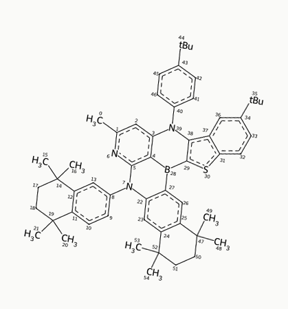 Cc1cc2c3c(n1)N(c1ccc4c(c1)C(C)(C)CCC4(C)C)c1cc4c(cc1B3c1sc3ccc(C(C)(C)C)cc3c1N2c1ccc(C(C)(C)C)cc1)C(C)(C)CCC4(C)C